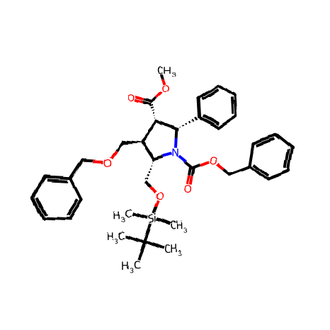 COC(=O)[C@H]1[C@H](COCc2ccccc2)[C@@H](CO[Si](C)(C)C(C)(C)C)N(C(=O)OCc2ccccc2)[C@H]1c1ccccc1